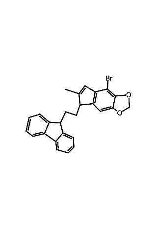 CC1=Cc2c(cc3c(c2Br)OCO3)C1CCC1c2ccccc2-c2ccccc21